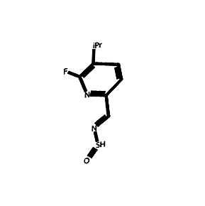 CC(C)c1ccc(/C=N/[SH]=O)nc1F